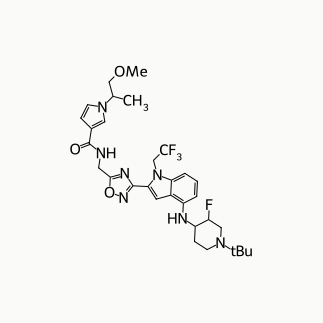 COCC(C)n1ccc(C(=O)NCc2nc(-c3cc4c(NC5CCN(C(C)(C)C)CC5F)cccc4n3CC(F)(F)F)no2)c1